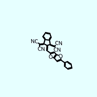 N#CC(C#N)=C1C(=Cc2cc3oc(-c4ccccc4)cc3o2)C(=C(C#N)C#N)c2ccccc21